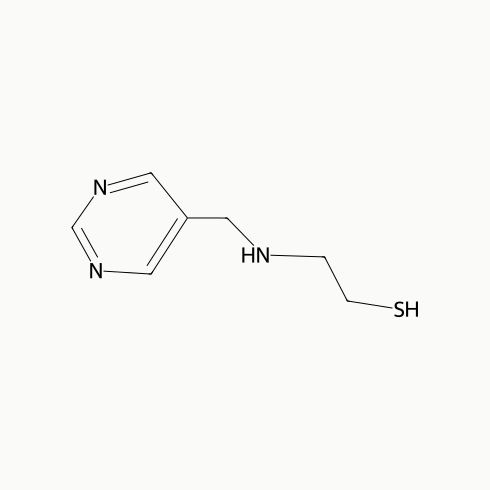 SCCNCc1cncnc1